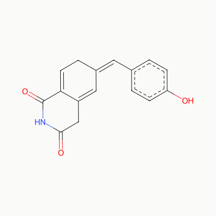 O=C1CC2=CC(=Cc3ccc(O)cc3)CC=C2C(=O)N1